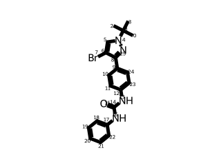 CC(C)(C)n1cc(Br)c(-c2ccc(NC(=O)Nc3ccccc3)cc2)n1